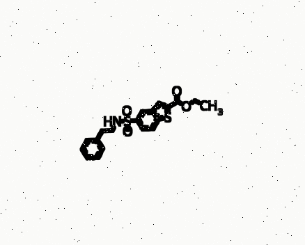 CCOC(=O)c1cc2cc(S(=O)(=O)NCCc3ccccc3)ccc2s1